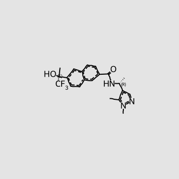 Cc1c([C@@H](C)NC(=O)c2ccc3cc([C@](C)(O)C(F)(F)F)ccc3c2)cnn1C